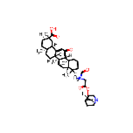 CC1(C)[C@@H](C(=O)NCC(=O)O[C@H]2CN3CCC2CC3)CC[C@]2(C)[C@H]3C(=O)C=C4[C@@H]5C[C@@](C)(C(=O)O)CC[C@]5(C)CC[C@@]4(C)[C@]3(C)CC[C@@H]12